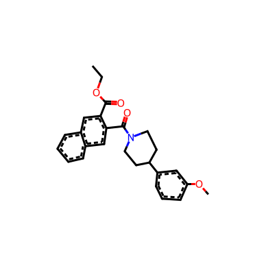 CCOC(=O)c1cc2ccccc2cc1C(=O)N1CCC(c2cccc(OC)c2)CC1